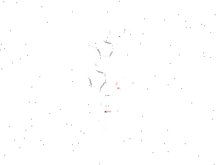 CCOC(=O)CC1CS(=O)(=O)c2cc(Oc3ccc(C(F)(F)F)cc3Cl)ccc21